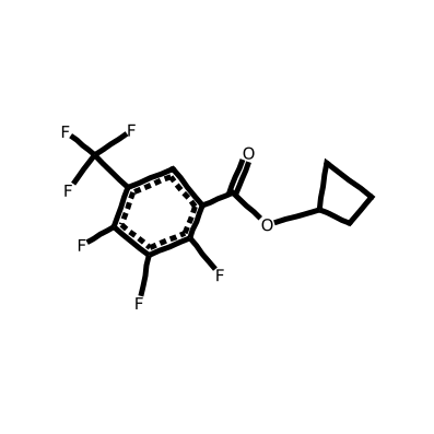 O=C(OC1CCC1)c1cc(C(F)(F)F)c(F)c(F)c1F